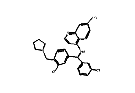 FC(F)(F)c1ccc2c(NC(c3cccc(Cl)c3)c3ccc(CN4CCCC4)c(Cl)c3)ccnc2c1